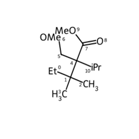 CCC(C)(C)C(COC)(C(=O)OC)C(C)C